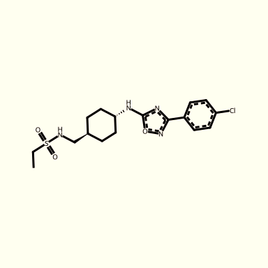 CCS(=O)(=O)NC[C@H]1CC[C@H](Nc2nc(-c3ccc(Cl)cc3)no2)CC1